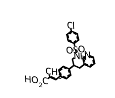 C/C(=C\c1ccc(C(CNS(=O)(=O)c2ccc(Cl)cc2)Cc2cccnc2)cc1)C(=O)O